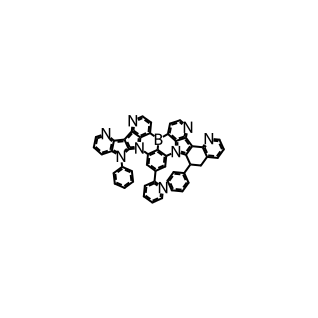 c1ccc(C2Cc3cccnc3-c3c2n2c4c(ccnc34)B3c4c-2cc(-c2ccccn2)cc4-n2c4c3ccnc4c3c4ncccc4n(-c4ccccc4)c32)cc1